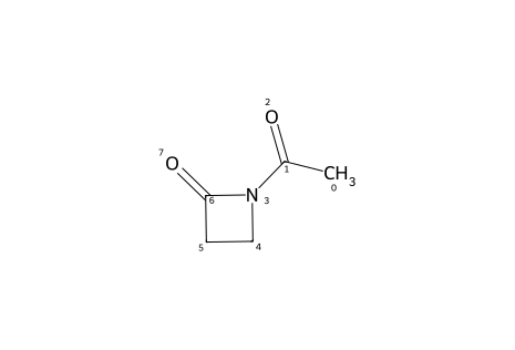 CC(=O)N1CCC1=O